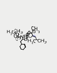 COC(=O)/C(=C/C(C)C)C[PH](=O)OC(CC1CCCCC1)NC(=O)OC(C)(C)C